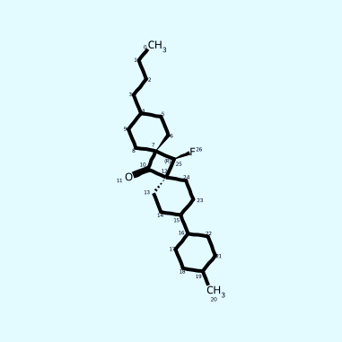 CCCCC1CC[C@]2(CC1)C(=O)[C@@]1(CCC(C3CCC(C)CC3)CC1)[C@@H]2F